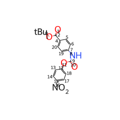 CC(C)(C)OC(=O)c1ccc(NC(=O)Oc2ccc([N+](=O)[O-])cc2)cc1